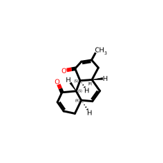 CC1=CC(=O)[C@@H]2[C@H]3C(=O)C=CC[C@@H]3C=C[C@H]2C1